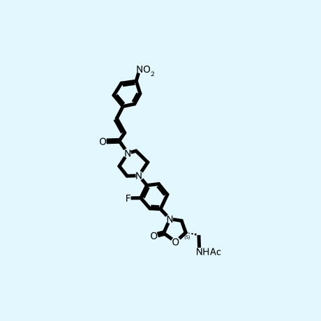 CC(=O)NC[C@H]1CN(c2ccc(N3CCN(C(=O)C=Cc4ccc([N+](=O)[O-])cc4)CC3)c(F)c2)C(=O)O1